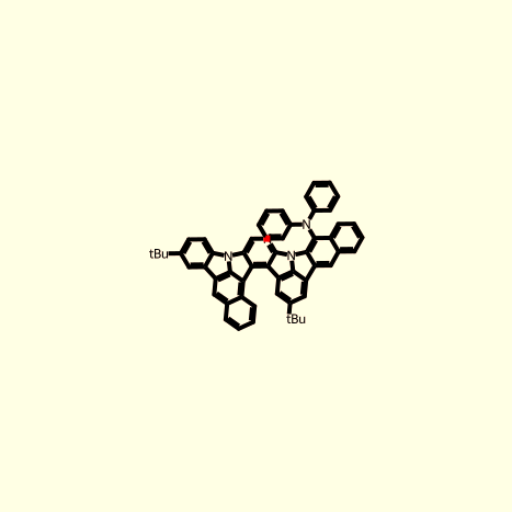 CC(C)(C)c1ccc2c(c1)c1cc3ccccc3c3c4c5c6cc(C(C)(C)C)cc7c8cc9ccccc9c(N(c9ccccc9)c9ccccc9)c8n(c5ncc4n2c13)c76